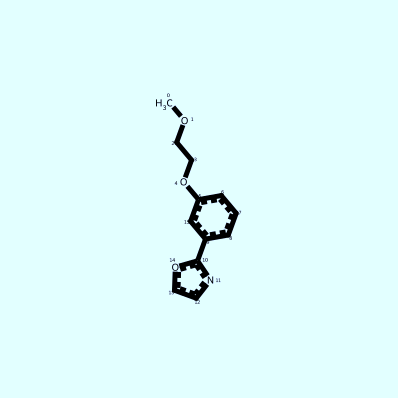 COCCOc1cccc(-c2ncco2)c1